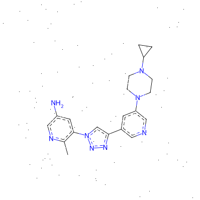 Cc1ncc(N)cc1-n1cc(-c2cncc(N3CCN(C4CC4)CC3)c2)nn1